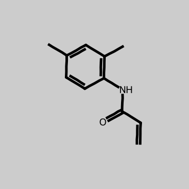 C=CC(=O)Nc1ccc(C)cc1C